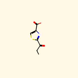 CCC(=O)c1nc(C(=O)O)cs1